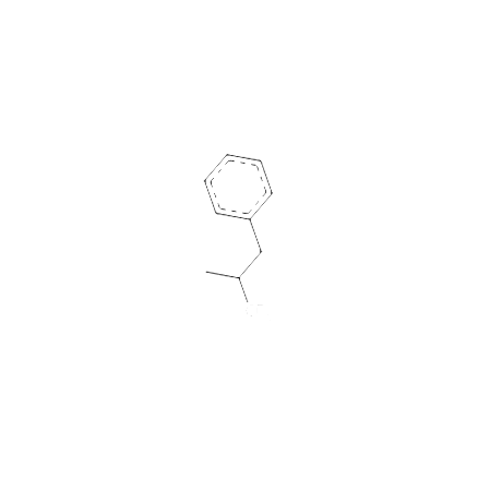 CC(Cc1ccccc1)C(F)(F)F